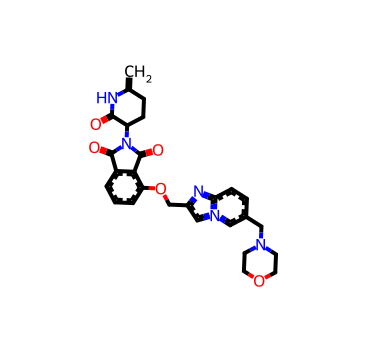 C=C1CCC(N2C(=O)c3cccc(OCc4cn5cc(CN6CCOCC6)ccc5n4)c3C2=O)C(=O)N1